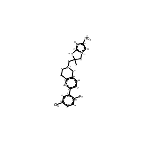 CC1(CN2CCc3nc(-c4cc(Cl)ccc4F)ccc3C2)Cn2cc([N+](=O)[O-])nc2O1